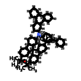 CC(C)(C)c1ccc2c(c1)C1(c3cc(N(c4ccc(-c5ccccc5)cc4)c4ccc5c6ccccc6c6ccccc6c5c4)ccc3-2)c2cc(C(C)(C)C)ccc2-c2ccc(C(C)(C)C)cc21